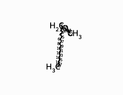 C=C(CCCCCCCCCCCCCCCCC)OCCC